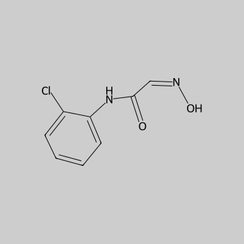 O=C(/C=N\O)Nc1ccccc1Cl